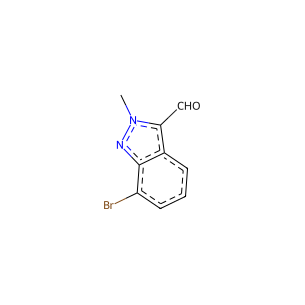 Cn1nc2c(Br)cccc2c1C=O